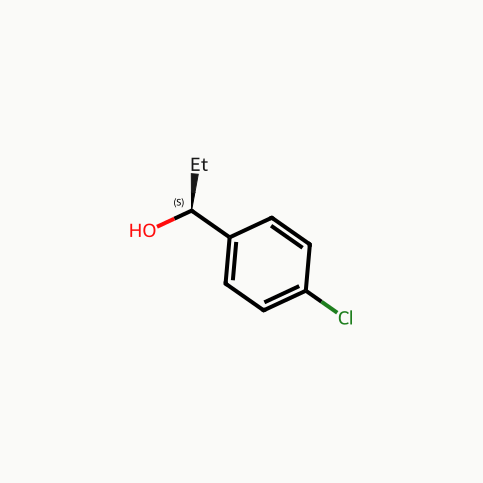 CC[C@H](O)c1ccc(Cl)cc1